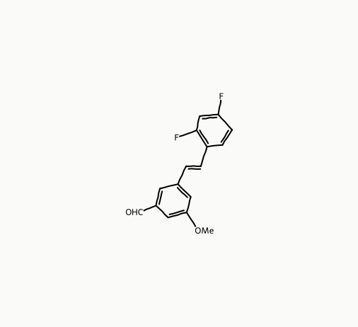 COc1cc(C=O)cc(/C=C/c2ccc(F)cc2F)c1